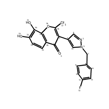 O=c1c(-c2cnn(Cc3ccc(F)cc3)c2)c(C(F)(F)F)oc2c(O)c(O)ccc12